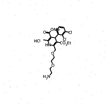 CCOC(=O)C1=C(COCCOCCN)NC(C)=C(C(=O)OC)C1c1cccc(Cl)c1Cl.Cl